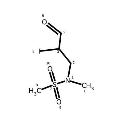 CN(CC(I)[C]=O)S(C)(=O)=O